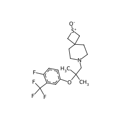 CC(C)(CN1CCC2(CC1)C[S+]([O-])C2)Oc1ccc(F)c(C(F)(F)F)c1